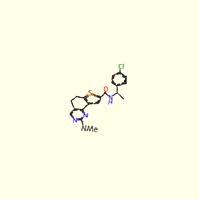 CNc1ncc2c(n1)-c1cc(C(=O)NC(C)c3ccc(Cl)cc3)sc1CC2